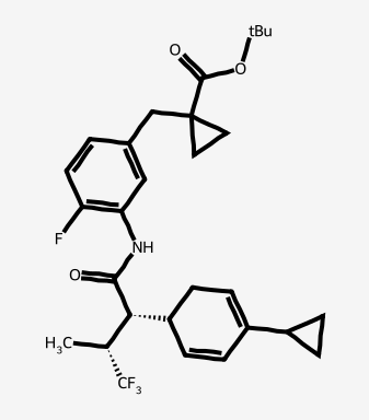 C[C@H]([C@H](C(=O)Nc1cc(CC2(C(=O)OC(C)(C)C)CC2)ccc1F)C1C=CC(C2CC2)=CC1)C(F)(F)F